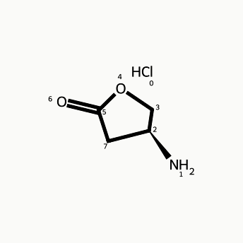 Cl.N[C@@H]1COC(=O)C1